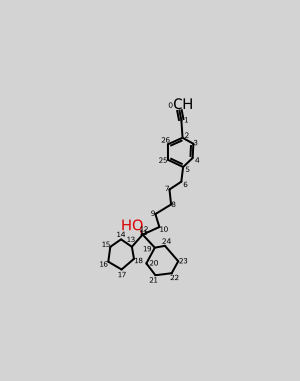 C#Cc1ccc(CCCCCC(O)(C2CCCCC2)C2CCCCC2)cc1